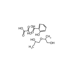 CC(O)COC(C)CO.O=C(O)C(=O)O.O=C(O)c1ccccc1O